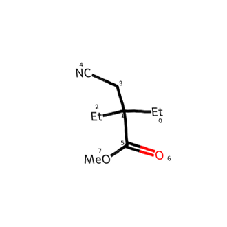 CCC(CC)(CC#N)C(=O)OC